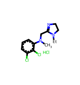 CCN1CCN=C1CN(C)c1cccc(Cl)c1Cl.Cl